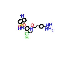 CN(C)c1cccc2c(S(=O)(=O)Nc3ccc4c(c3)CCCN4C(=O)CCc3ccc(C(=N)N)cc3)cccc12.Cl